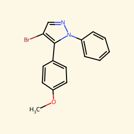 COc1ccc(-c2c(Br)cnn2-c2ccccc2)cc1